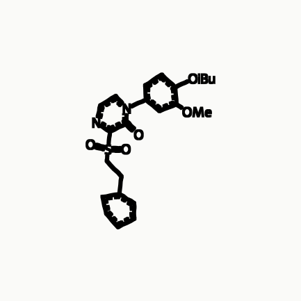 COc1cc(-n2ccnc(S(=O)(=O)CCc3ccccc3)c2=O)ccc1OCC(C)C